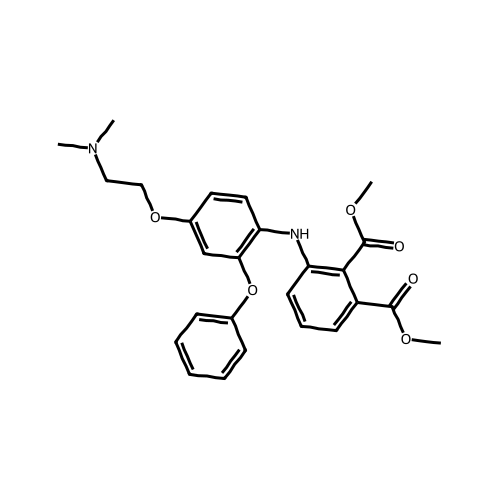 COC(=O)c1cccc(Nc2ccc(OCCN(C)C)cc2Oc2ccccc2)c1C(=O)OC